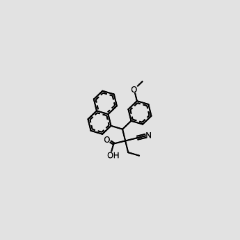 CCC(C#N)(C(=O)O)C(c1cccc(OC)c1)c1cccc2ccccc12